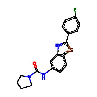 O=C(Nc1ccc2sc(-c3ccc(F)cc3)nc2c1)N1CCCC1